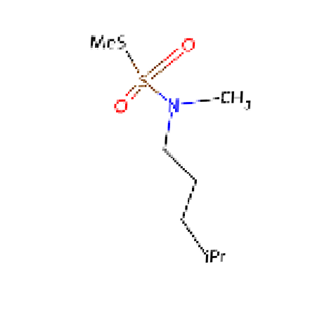 CSS(=O)(=O)N(C)CCCC(C)C